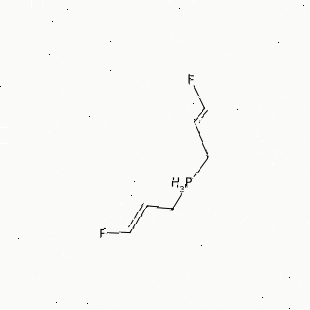 FC=CC[PH3]CC=CF